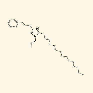 CCCCCCCCCCCCCCCc1nc(CCCc2ccccc2)cn1CCC